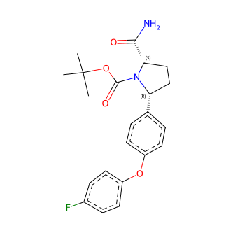 CC(C)(C)OC(=O)N1[C@@H](c2ccc(Oc3ccc(F)cc3)cc2)CC[C@H]1C(N)=O